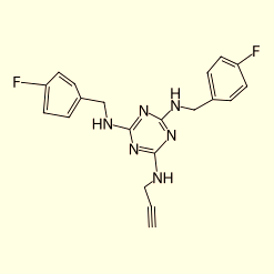 C#CCNc1nc(NCc2ccc(F)cc2)nc(NCc2ccc(F)cc2)n1